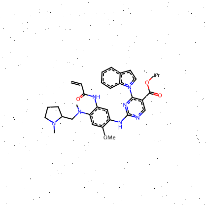 C=CC(=O)Nc1cc(Nc2ncc(C(=O)OC(C)C)c(-n3ccc4ccccc43)n2)c(OC)cc1N(C)CC1CCCN1C